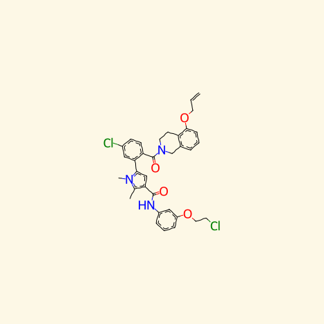 C=CCOc1cccc2c1CCN(C(=O)c1ccc(Cl)cc1-c1cc(C(=O)Nc3cccc(OCCCl)c3)c(C)n1C)C2